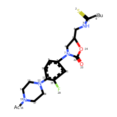 CCC(C)C(=S)NCC1CN(c2ccc(N3CCN(C(C)=O)CC3)c(F)c2)C(=O)O1